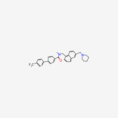 CN(Cc1cccc2cc(CN3CCCCC3)ccc12)C(=O)c1ccc(-c2ccc(C(F)(F)F)cc2)cc1